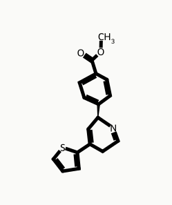 COC(=O)c1ccc([C@@H]2C=C(c3cccs3)CC=N2)cc1